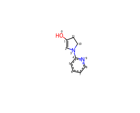 OC1=CN(c2ccccn2)CC1